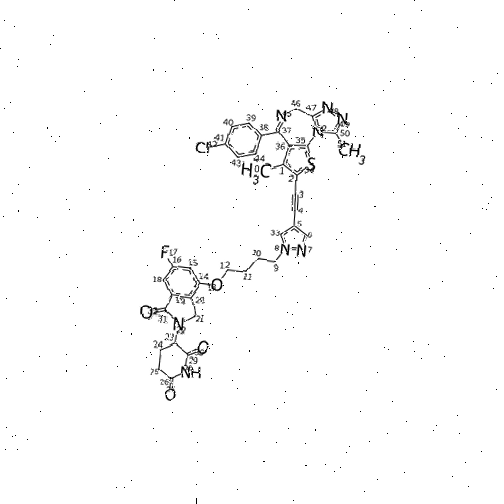 Cc1c(C#Cc2cnn(CCCCOc3cc(F)cc4c3CN(C3CCC(=O)NC3=O)C4=O)c2)sc2c1C(c1ccc(Cl)cc1)=NCc1nnc(C)n1-2